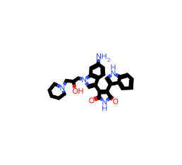 Nc1ccc2c(C3=C(c4c[nH]c5ccccc45)C(=O)NC3=O)cn(CC(O)CN3CCCCC3)c2c1